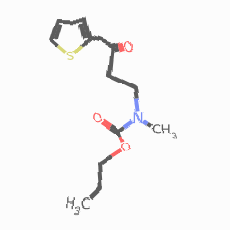 CCCOC(=O)N(C)CCC(=O)c1cccs1